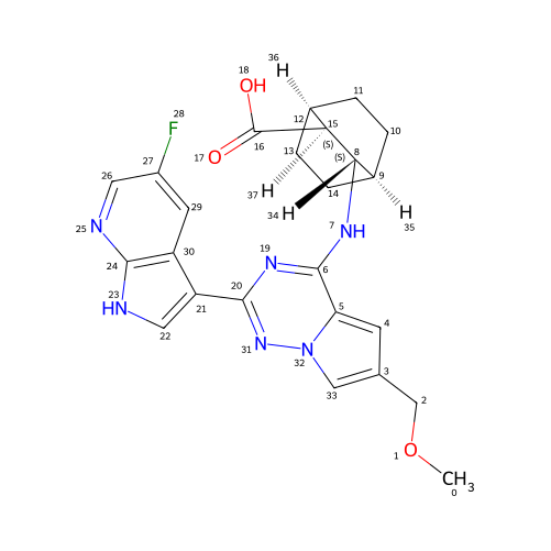 COCc1cc2c(N[C@H]3[C@H]4CC[C@H](CC4)[C@@H]3C(=O)O)nc(-c3c[nH]c4ncc(F)cc34)nn2c1